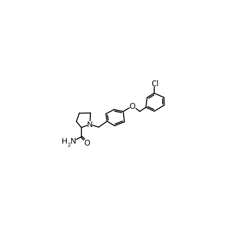 NC(=O)C1CCCN1Cc1ccc(OCc2cccc(Cl)c2)cc1